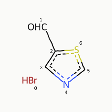 Br.O=Cc1cncs1